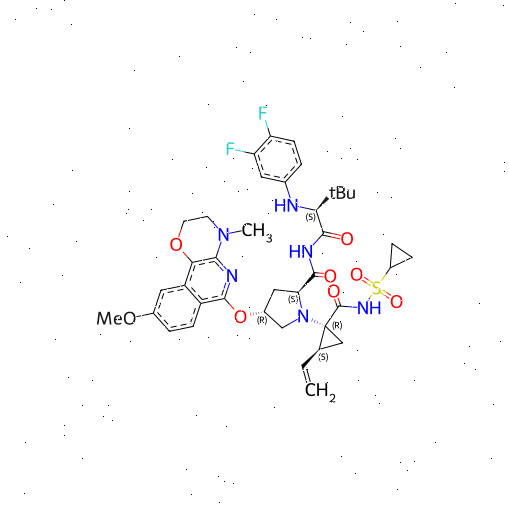 C=C[C@@H]1C[C@@]1(C(=O)NS(=O)(=O)C1CC1)N1C[C@H](Oc2nc3c(c4cc(OC)ccc24)OCCN3C)C[C@H]1C(=O)NC(=O)[C@@H](Nc1ccc(F)c(F)c1)C(C)(C)C